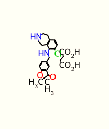 CC1(C)Oc2ccc(CNc3c(Cl)ccc4c3CCNCC4)cc2C1=O.O=C(O)CCC(=O)O